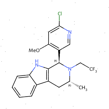 COc1cc(Cl)ncc1[C@@H]1c2[nH]c3ccccc3c2C[C@@H](C)N1CC(F)(F)F